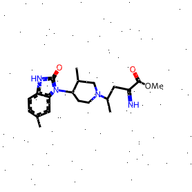 COC(=O)C(=N)CC(C)N1CCC(n2c(=O)[nH]c3ccc(C)cc32)C(C)C1